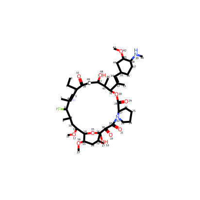 CCC1/C=C(\C)C(F)C(C)CC(OC)C2OC(O)(C(=O)C(=O)N3CCCCC3C(=O)OC(C(C)=CC3CCC(NC)C(OC)C3)C(C)C(O)CC1=O)C(C)CC2OC